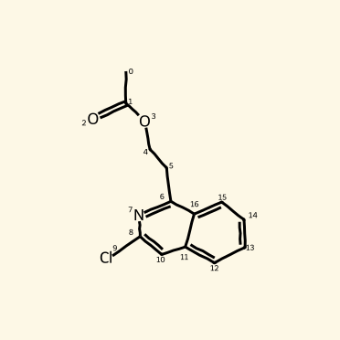 CC(=O)OCCc1nc(Cl)cc2ccccc12